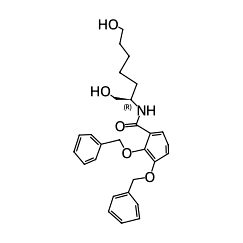 O=C(N[C@@H](CO)CCCCCO)c1cccc(OCc2ccccc2)c1OCc1ccccc1